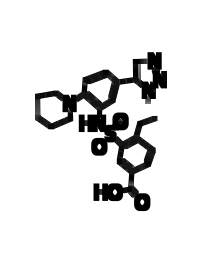 CCc1ccc(C(=O)O)cc1S(=O)(=O)Nc1cc(-c2cnnn2C)ccc1N1CCCCC1